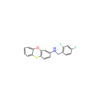 Fc1ccc(CNc2ccc3c(c2)Oc2ccccc2S3)c(F)c1